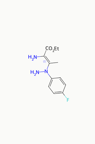 CCOC(=O)/C(N)=C(\C)N(N)c1ccc(F)cc1